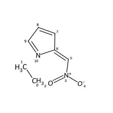 CC.O=[N+]([O-])C=C1C=CC=N1